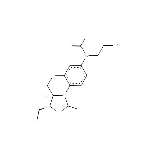 CCC(=O)N(CCOC)c1ccc2c(c1)OC[C@@H]1[C@H](CN)OC(O)N21